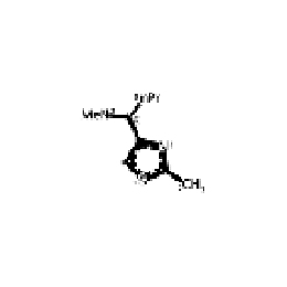 CCC[C@H](NC)c1csc(C)n1